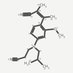 COc1cc(N(CCC#N)CC(C)C)ccc1C(C)=C(C)C#N